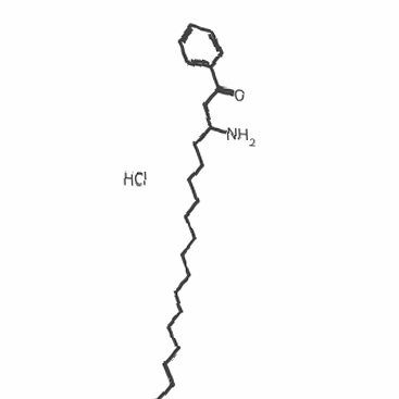 CCCCCCCCCCCCCCCC(N)CC(=O)c1ccccc1.Cl